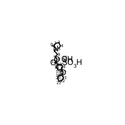 CC1CCCCN1CCCOC(=O)c1ccc(OC2CCCCC2)cc1.O=S(=O)(O)O